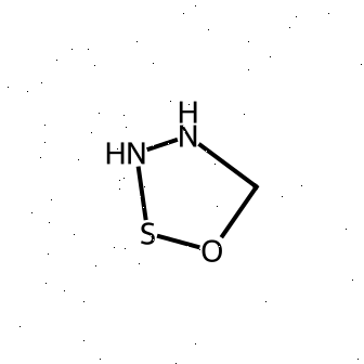 C1NNSO1